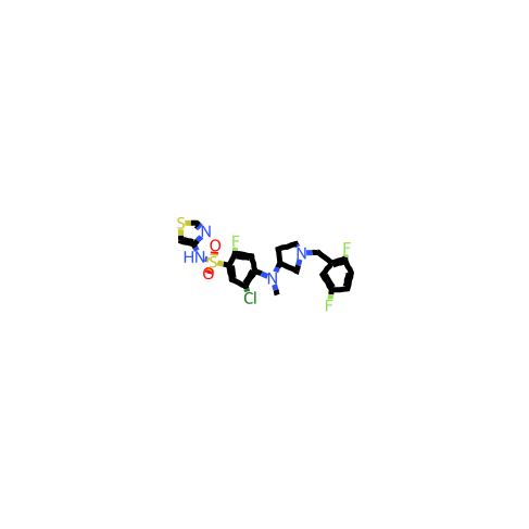 CN(c1cc(F)c(S(=O)(=O)Nc2cscn2)cc1Cl)C1CCN(Cc2cc(F)ccc2F)C1